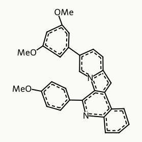 COc1ccc(-c2nc3ccccc3c3cc4ccc(-c5cc(OC)cc(OC)c5)cn4c23)cc1